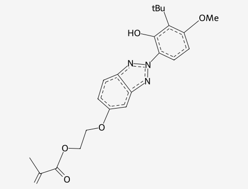 C=C(C)C(=O)OCCOc1ccc2nn(-c3ccc(OC)c(C(C)(C)C)c3O)nc2c1